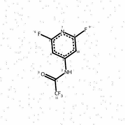 O=C(Nc1cc(F)nc(F)c1)C(F)(F)F